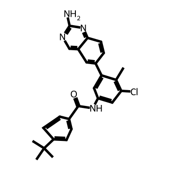 Cc1c(Cl)cc(NC(=O)c2ccc(C(C)(C)C)cc2)cc1-c1ccc2nc(N)ncc2c1